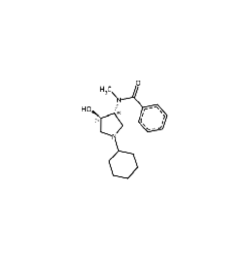 CN(C(=O)c1ccccc1)[C@@H]1CN(C2CCCCC2)C[C@H]1O